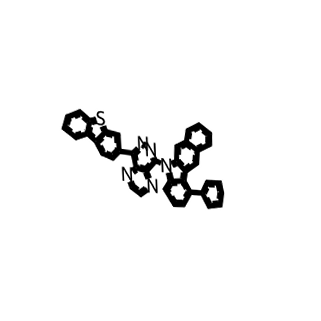 c1ccc(-c2cccc3c2c2cc4ccccc4cc2n3-c2nnc(-c3ccc4c(c3)sc3ccccc34)c3nccnc23)cc1